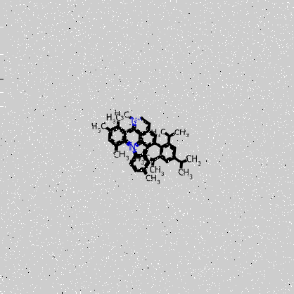 Cc1ccc2c(c1)c1c(-c3c(C(C)C)cc(C(C)C)cc3C(C)C)cc3cc[n+](C)c4c5c(C)c(C)cc(C)c5n2c1c34